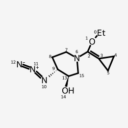 CCOC(=C1CC1)N1CC[C@@H](N=[N+]=[N-])[C@H](O)C1